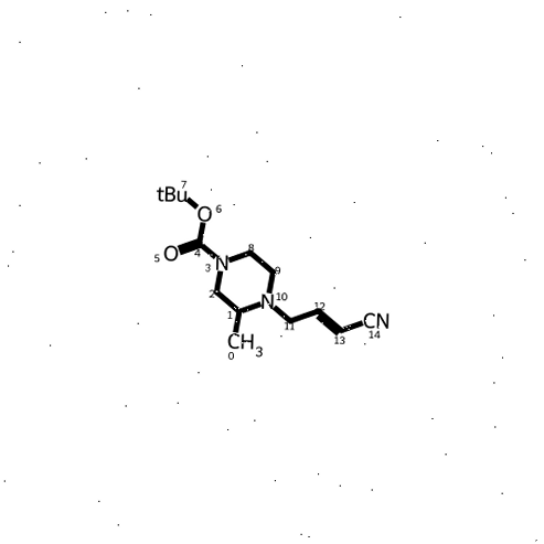 CC1CN(C(=O)OC(C)(C)C)CCN1C/C=C/C#N